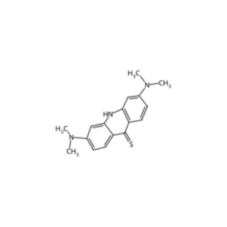 CN(C)c1ccc2c(=S)c3ccc(N(C)C)cc3[nH]c2c1